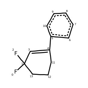 FC1(F)C=C(c2ccccc2)CCC1